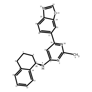 Cc1nc(N[C@@H]2CCCc3ccccc32)cc(-c2ccc3ncoc3c2)n1